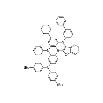 CC(C)(C)c1ccc(N(c2ccc(C(C)(C)C)cc2)c2ccc3c(c2)N(c2ccccc2)c2cc(C4CCCCC4)cc4c2B3c2oc3ccccc3c2N4c2cccc(-c3ccccc3)c2)cc1